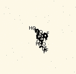 CC(COC(F)(F)F)NC(=O)c1cn(-c2c(F)cc(F)cc2Cl)c2nc(N3C[C@@H](O)CC3=O)ccc2c1=O